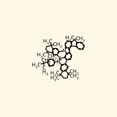 CC(C)(C)c1ccc(N2B3c4cc5c(cc4-n4c6ccc7c(c6c6ccc(c3c64)-c3cc4c(cc32)C(C)(C)CCC4(C)C)-c2ccccc2C7(C)C)C(C)(C)CCC5(C)C)cc1